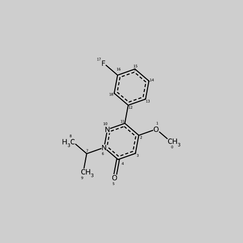 COc1cc(=O)n(C(C)C)nc1-c1cc[c]c(F)c1